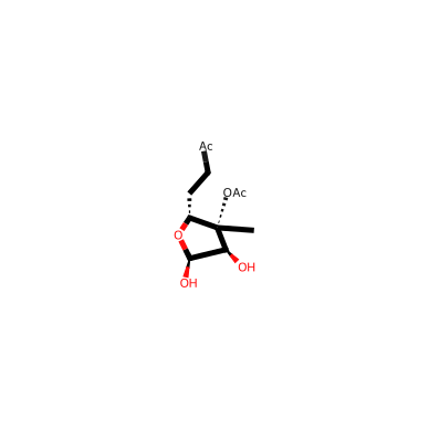 CC(=O)CC[C@H]1O[C@H](O)[C@H](O)[C@@]1(C)OC(C)=O